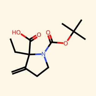 C=C1CCN(C(=O)OC(C)(C)C)C1(CC)C(=O)O